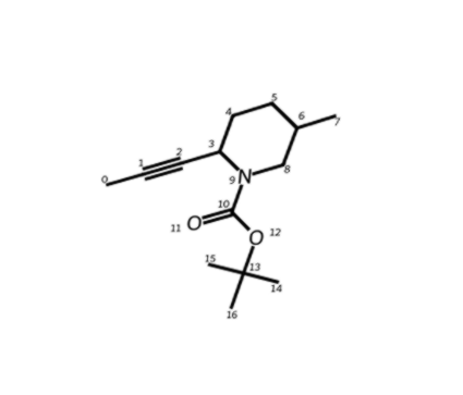 CC#CC1CCC(C)CN1C(=O)OC(C)(C)C